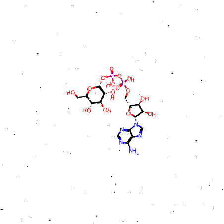 Nc1ncnc2c1ncn2[C@@H]1O[C@H](COP(=O)(O)OP(=O)(O)O[C@H]2O[C@H](CO)[C@@H](O)[C@H](O)[C@H]2O)[C@@H](O)[C@H]1O